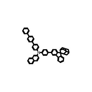 c1ccc(-c2ccc(-c3ccc(N(c4ccc(-c5ccc6c(c5)-c5ccccc5C65C6CC7CC(C6)CC5C7)cc4)c4ccc5ccccc5c4)cc3)cc2)cc1